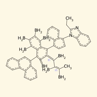 B=c1c(-c2cc3ccccc3c3ccccc23)c2c(B)c(B)c(B)c(B)c2c(-c2ccc(-n3c(CC)nc4ccccc43)c3ccccc23)/c1=C(B)/C(B)=C(/B)C